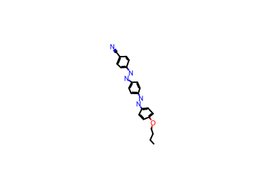 CCCCOc1ccc(N=Nc2ccc(N=Nc3ccc(C#N)cc3)cc2)cc1